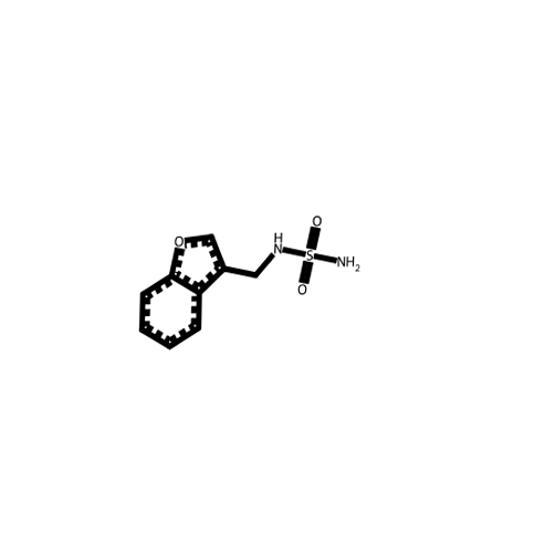 NS(=O)(=O)NCc1coc2ccccc12